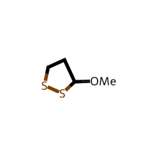 COC1CCSS1